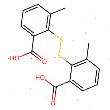 Cc1cccc(C(=O)O)c1SSc1c(C)cccc1C(=O)O